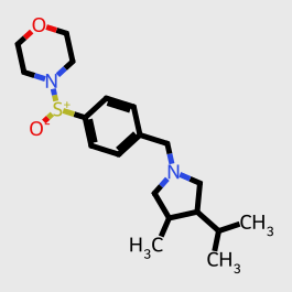 CC(C)C1CN(Cc2ccc([S+]([O-])N3CCOCC3)cc2)CC1C